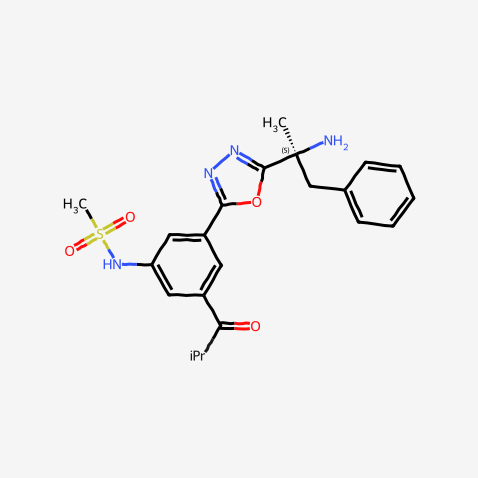 CC(C)C(=O)c1cc(NS(C)(=O)=O)cc(-c2nnc([C@@](C)(N)Cc3ccccc3)o2)c1